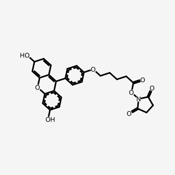 O=C(CCCCOc1ccc(C2=C3C=CC(O)C=C3Oc3cc(O)ccc32)cc1)ON1C(=O)CCC1=O